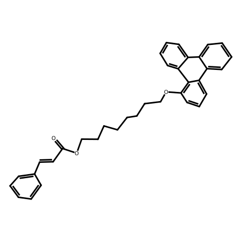 O=C(C=Cc1ccccc1)OCCCCCCCCOc1cccc2c3ccccc3c3ccccc3c12